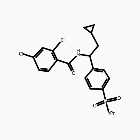 CCCS(=O)(=O)c1ccc(C(CC2CC2)NC(=O)c2ccc(Cl)cc2Cl)cc1